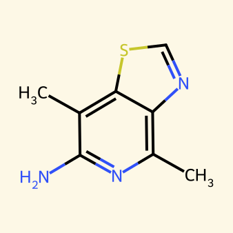 Cc1nc(N)c(C)c2scnc12